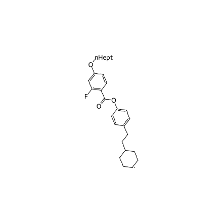 CCCCCCCOc1ccc(C(=O)Oc2ccc(CCC3CC[CH]CC3)cc2)c(F)c1